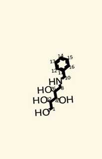 OC[C@@H](O)[C@@H](O)[C@H](O)CNCc1ccccc1